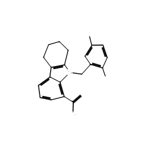 O=C(O)c1cccc2c3c(n(Cc4cc(Cl)ccc4Cl)c12)CCCC3